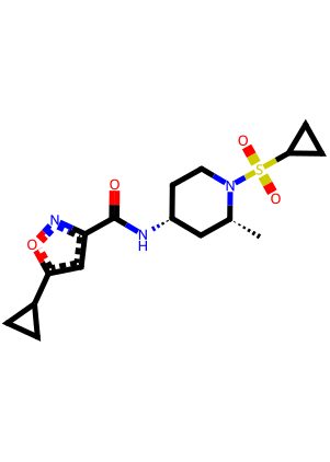 C[C@@H]1C[C@H](NC(=O)c2cc(C3CC3)on2)CCN1S(=O)(=O)C1CC1